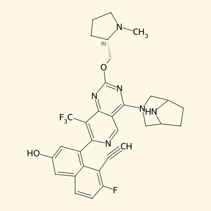 C#Cc1c(F)ccc2cc(O)cc(-c3ncc4c(N5CC6CCC(C5)N6)nc(OC[C@@H]5CCCN5C)nc4c3C(F)(F)F)c12